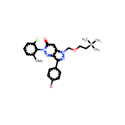 COc1cccc(F)c1-n1nc2c(-c3ccc(Br)cc3)nn(COCC[Si](C)(C)C)c2cc1=O